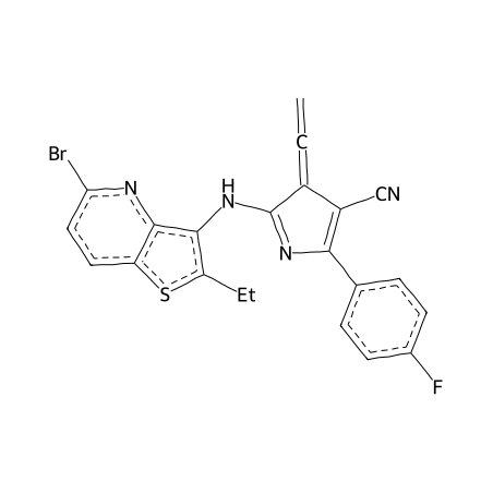 C=C=C1C(Nc2c(CC)sc3ccc(Br)nc23)=NC(c2ccc(F)cc2)=C1C#N